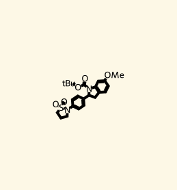 COc1ccc2c(c1)N(C(=O)OC(C)(C)C)C(c1ccc(N3CCCS3(=O)=O)cc1)C2